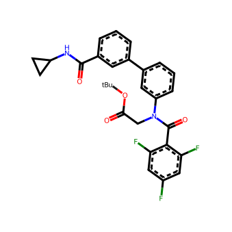 CC(C)(C)OC(=O)CN(C(=O)c1c(F)cc(F)cc1F)c1cccc(-c2cccc(C(=O)NC3CC3)c2)c1